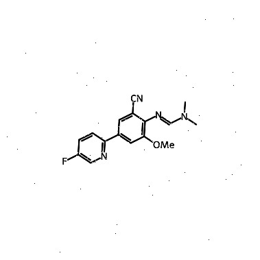 COc1cc(-c2ccc(F)cn2)cc(C#N)c1N=CN(C)C